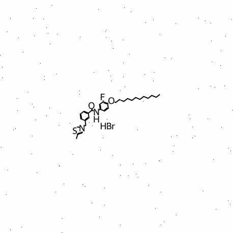 Br.CCCCCCCCCCCCOc1ccc(NC(=O)c2cccc(CN3C=C(C)SC3)c2)cc1F